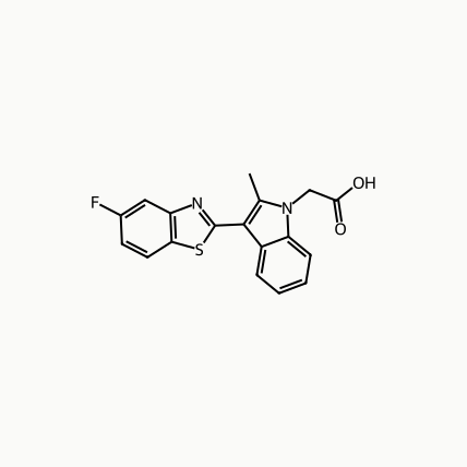 Cc1c(-c2nc3cc(F)ccc3s2)c2ccccc2n1CC(=O)O